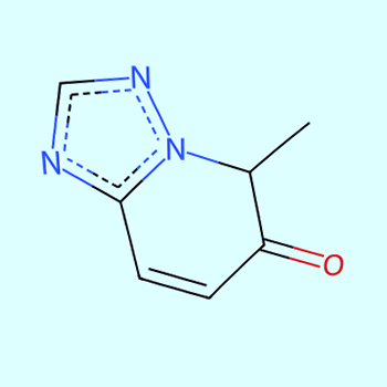 CC1C(=O)C=Cc2ncnn21